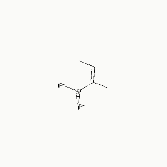 C/C=C(/C)[SiH](C(C)C)C(C)C